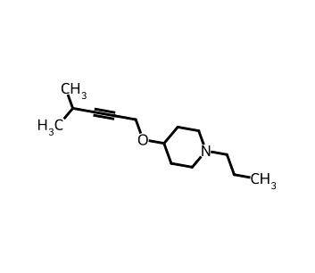 CCCN1CCC(OCC#CC(C)C)CC1